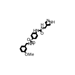 COc1cccc(CNS(=O)(=O)c2ccc(NC(=O)NCc3cn[nH]c3)cc2)c1